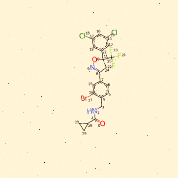 O=C(NCc1ccc(C2=NOC(c3cc(Cl)cc(Cl)c3)(C(F)(F)F)C2)cc1Br)C1CC1